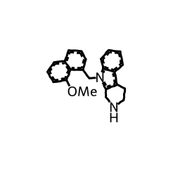 COc1cccc2cccc(Cn3c4c(c5ccccc53)CCNC4)c12